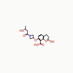 CC(O)CC(=O)N1CC(Oc2ccc3c(c2C(=O)O)OB(O)CC3)C1